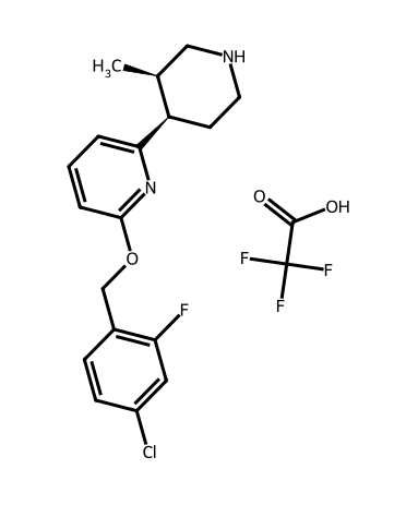 C[C@H]1CNCC[C@H]1c1cccc(OCc2ccc(Cl)cc2F)n1.O=C(O)C(F)(F)F